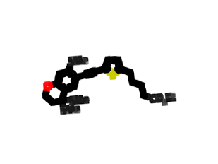 CCOC(=O)CCCCc1ccc(C#Cc2cc3c(cc2SC)OCCC3(SC)SC)s1